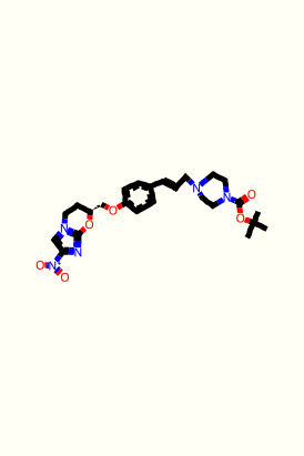 CC(C)(C)OC(=O)N1CCN(CC=Cc2ccc(OC[C@H]3CCn4cc([N+](=O)[O-])nc4O3)cc2)CC1